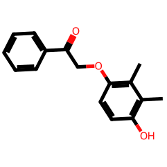 Cc1c(O)ccc(OCC(=O)c2ccccc2)c1C